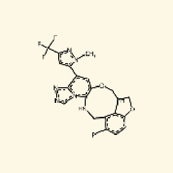 Cn1nc(C(F)(F)F)cc1-c1cc2c(n3cnnc13)NCc1c(F)ccc3c1[C@H](CO3)CO2